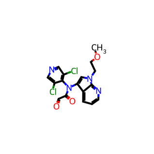 COCCn1cc(N(C(=O)C=O)c2c(Cl)cncc2Cl)c2cccnc21